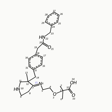 CC(C)(OCC/N=C1\CCNCC1(C)Cc1ccc(CC(=O)NCc2ccccc2)cc1)C(=O)O